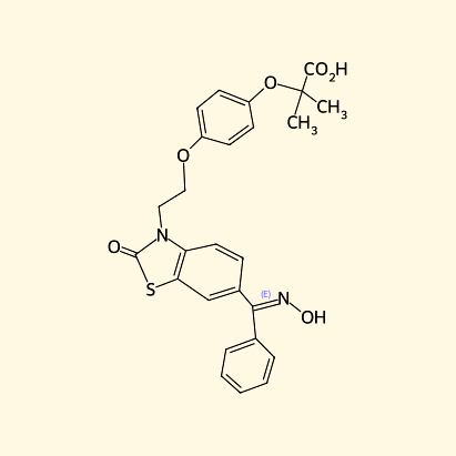 CC(C)(Oc1ccc(OCCn2c(=O)sc3cc(/C(=N/O)c4ccccc4)ccc32)cc1)C(=O)O